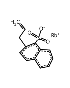 C=CCc1ccc2ccccc2c1S(=O)(=O)[O-].[Rb+]